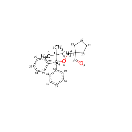 CC(C)(C)[Si](OCC1(C=O)CCCC1)(c1ccccc1)c1ccccc1